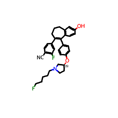 N#Cc1ccc(C2=C(c3ccc(O[C@H]4CCN(CCCCCF)C4)cc3)c3ccc(O)cc3CCC2)cc1F